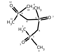 CP(C)(=O)CP(C)(=O)CP(C)(C)=O